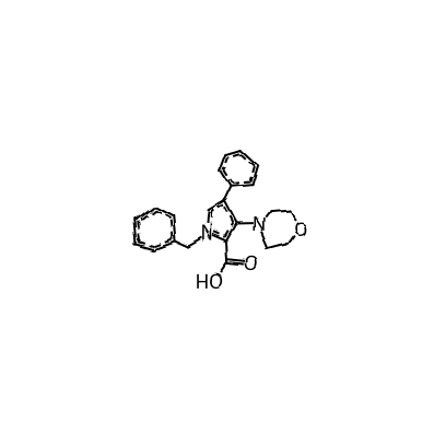 O=C(O)c1c(N2CCOCC2)c(-c2ccccc2)cn1Cc1ccccc1